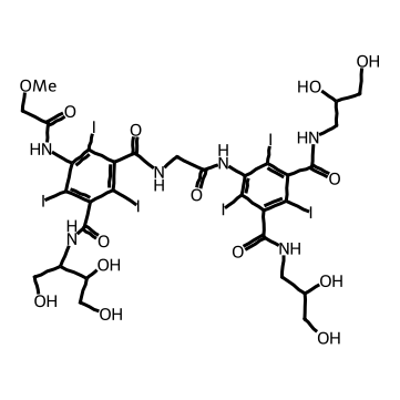 COCC(=O)Nc1c(I)c(C(=O)NCC(=O)Nc2c(I)c(C(=O)NCC(O)CO)c(I)c(C(=O)NCC(O)CO)c2I)c(I)c(C(=O)NC(CO)C(O)CO)c1I